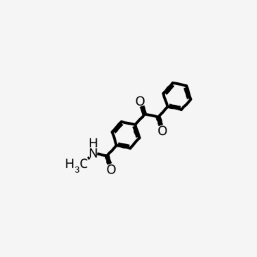 CNC(=O)c1ccc(C(=O)C(=O)c2ccccc2)cc1